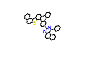 c1ccc(-c2nc(-c3ccc4c(c3)c3ccccc3c3ccc5c(sc6ccc7ccccc7c65)c34)nc3ccc4ccccc4c23)cc1